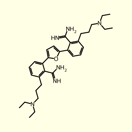 CCN(CC)CCCc1cccc(-c2ccc(-c3cccc(CCCN(CC)CC)c3C(=N)N)o2)c1C(=N)N